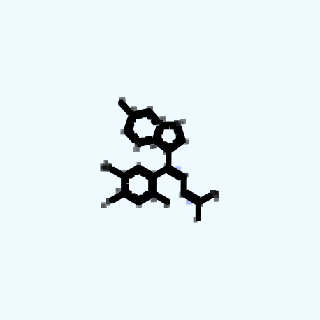 CC/C(C)=C\C=C(/c1cc(O)c(F)cc1C)c1cnn2cc(C)cnc12